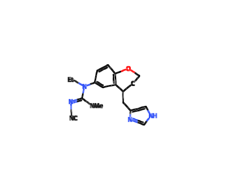 [C-]#[N+]/N=C(\NC)N(CC)c1ccc2c(c1)C(Cc1c[nH]cn1)CCO2